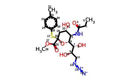 CCC(=O)N[C@H]1[C@H]([C@H](O)[C@H](O)CN=[N+]=[N-])O[C@](Sc2ccc(C)cc2)(C(=O)OC)C[C@@H]1O